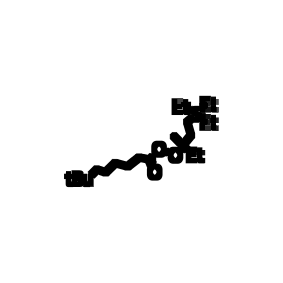 CCC(C)(CC[Si](CC)(CC)CC)OOC(=O)CCCCCC(C)(C)C